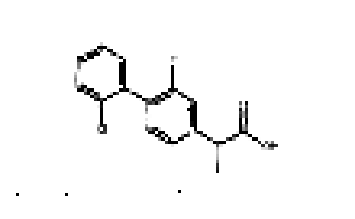 CC(C(=O)O)c1ccc(-c2ccccc2Cl)c(F)c1